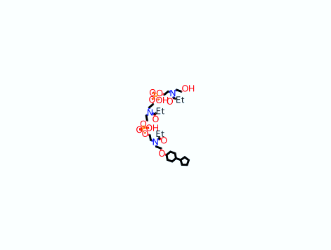 CCC(=O)N(CCO)CCOP(=O)(O)OCCN(CCOP(=O)(O)OCCN(CCOC1CCC(C2CCCC2)CC1)C(=O)CC)C(=O)CC